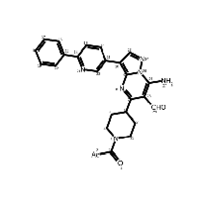 CC(=O)C(=O)N1CCC(c2nc3c(-c4ccc(-c5ccccc5)nc4)cnn3c(N)c2C=O)CC1